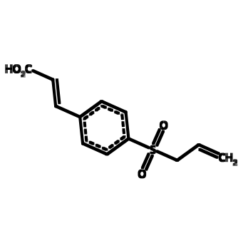 C=CCS(=O)(=O)c1ccc(/C=C/C(=O)O)cc1